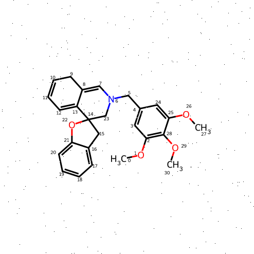 COc1cc(CN2C=C3CC=CC=C3C3(Cc4ccccc4O3)C2)cc(OC)c1OC